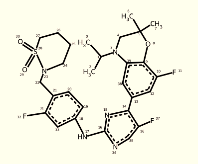 CC(C)N1CC(C)(C)Oc2c(F)cc(-c3nc(Nc4ccc(CN5CCCCS5(=O)=O)c(F)c4)ncc3F)cc21